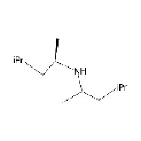 CC(C)CC(C)N[C@H](C)CC(C)C